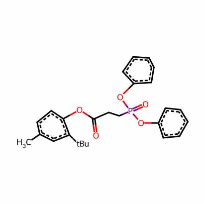 Cc1ccc(OC(=O)CCP(=O)(Oc2ccccc2)Oc2ccccc2)c(C(C)(C)C)c1